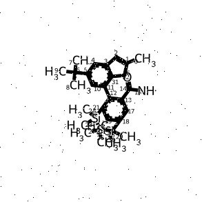 CC1=Cc2cc(C(C)(C)C)cc(-c3c(C([NH])=O)cc4c(C)c3[Si](C)(C)[Si](C)(C)[Si]4(C)C)c2C1